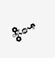 O=C(c1ccccc1F)N(CCN1CCN(CCc2cccs2)CC1)c1ccccc1